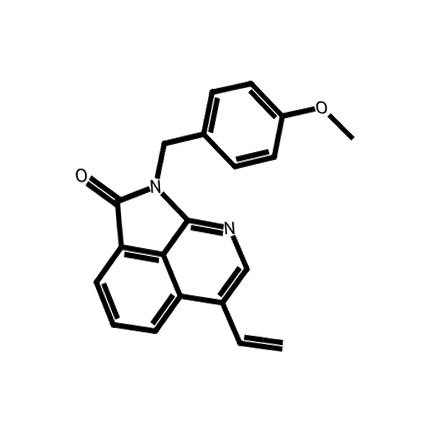 C=Cc1cnc2c3c(cccc13)C(=O)N2Cc1ccc(OC)cc1